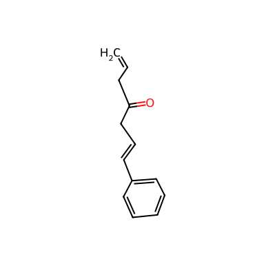 C=CCC(=O)C/C=C/c1ccccc1